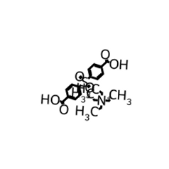 CC[N+](CC)(CC)CC.O=C(O)c1ccc(S(=O)(=O)c2ccc(C(=O)O)cc2)cc1